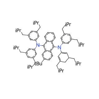 CC(C)CC1=CC(N(c2cc(CC(C)C)cc(CC(C)C)c2)c2c3ccccc3c(N(c3cc(CC(C)C)cc(CC(C)C)c3)c3cc(CC(C)C)cc(CC(C)C)c3)c3cc(C(C)(C)C)ccc23)=CC(CC(C)C)C1